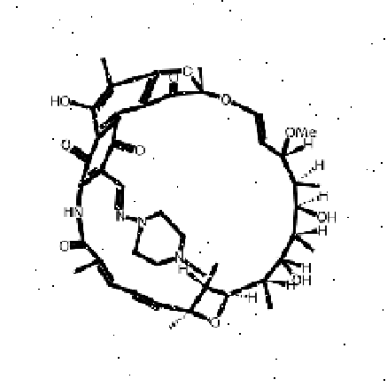 CO[C@H]1/C=C/O[C@@]2(C)Oc3c(C)c(O)c4c(c3C2=O)C(=O)C(/C=N/N2CCN(C)CC2)=C(NC(=O)/C(C)=C\C=C\[C@]2(C)O[C@H]([C@@H](C)[C@@H](O)[C@@H](C)[C@H](O)[C@@H]1C)[C@H]2C)C4=O